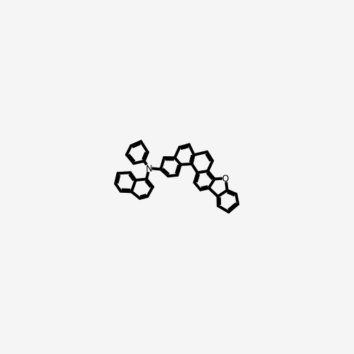 c1ccc(N(c2ccc3c(ccc4ccc5c(ccc6c7ccccc7oc65)c43)c2)c2cccc3ccccc23)cc1